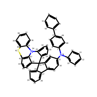 c1ccc(-c2ccc(N(c3ccccc3)c3ccc4c(c3)C3(c5ccccc5-4)c4ccccc4N4c5ccccc5Sc5cccc3c54)cc2)cc1